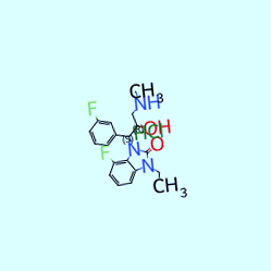 CCn1c(=O)n([C@@H](c2cccc(F)c2)[C@H](O)CNC)c2c(F)cccc21.Cl